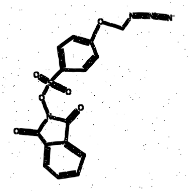 [N-]=[N+]=NCOc1ccc(S(=O)(=O)ON2C(=O)c3ccccc3C2=O)cc1